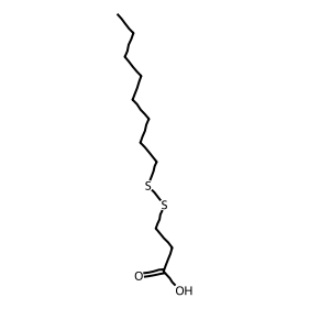 CCCCCCCCSSCCC(=O)O